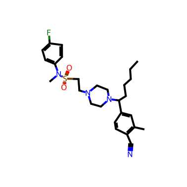 CCCCCC(c1ccc(C#N)c(C)c1)N1CCN(CCS(=O)(=O)N(C)c2ccc(F)cc2)CC1